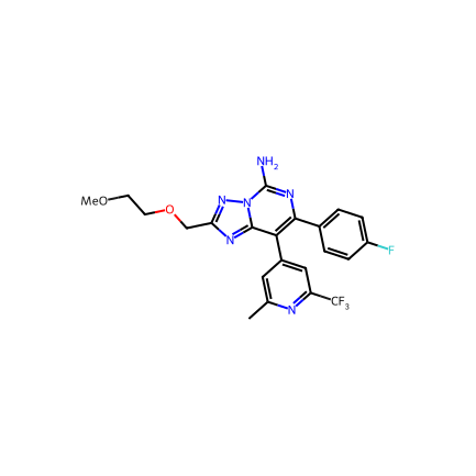 COCCOCc1nc2c(-c3cc(C)nc(C(F)(F)F)c3)c(-c3ccc(F)cc3)nc(N)n2n1